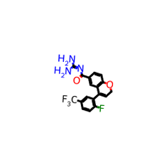 NC(N)=NC(=O)c1ccc2c(c1)C(c1cc(C(F)(F)F)ccc1F)=CCO2